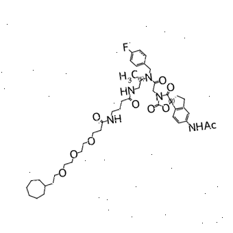 CC(=O)Nc1ccc2c(c1)CC[C@@]21OC(=O)N(CC(=O)N(Cc2ccc(F)cc2)[C@@H](C)CNC(=O)CCCNC(=O)CCOCCOCCOCCC2CCCCCC2)C1=O